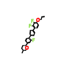 C=CCOc1ccc(-c2ccc(-c3ccc(C4CCC(C)CO4)cc3F)cc2)c(F)c1F